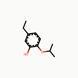 CCc1ccc(OC(C)C)c(O)c1